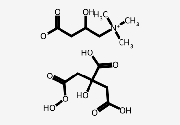 C[N+](C)(C)CC(O)CC(=O)[O-].O=C(O)CC(O)(CC(=O)OO)C(=O)O